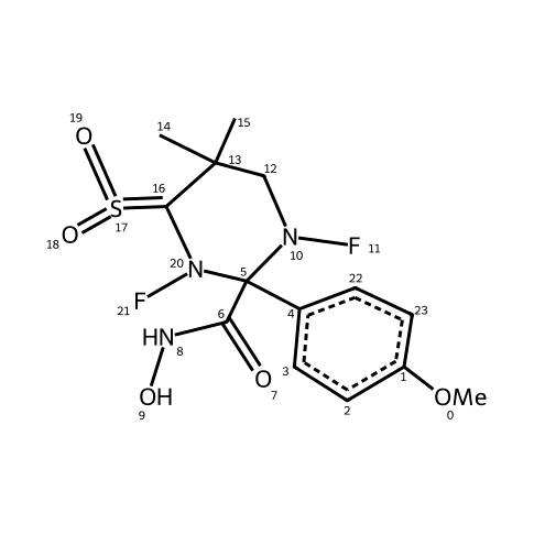 COc1ccc(C2(C(=O)NO)N(F)CC(C)(C)C(=S(=O)=O)N2F)cc1